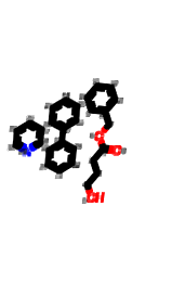 O=C(CCCO)OCc1ccccc1.c1ccc(-c2ccccc2)cc1.c1ccncc1